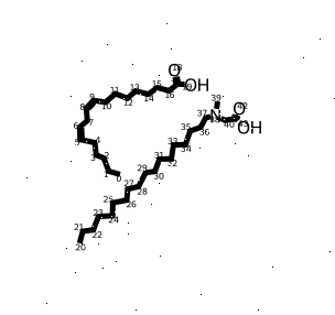 CCCCC/C=C\C/C=C\CCCCCCCC(=O)O.CCCCCCCCCCCCCCCCCCN(C)CC(=O)O